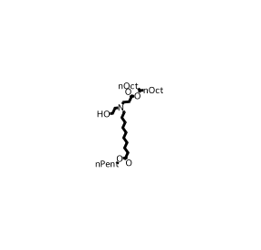 CCCCCCCCC(CCCCCCCC)OC(=O)CCN(CCO)CCCCCCCCCC(=O)OCCCCC